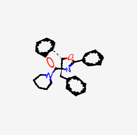 O=C(N1CCCCC1)[C@@]1(Cc2ccccc2)N=C(c2ccccc2)O[C@H]1c1ccccc1